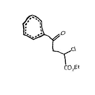 CCOC(=O)C(Cl)CC(=O)c1ccccc1